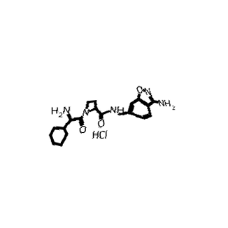 Cl.Nc1noc2cc(CNC(=O)C3CCN3C(=O)C(N)C3CCCCC3)ccc12